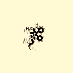 C=C(/C=C\C(C)=C/C)S(=O)(=O)n1c(-c2ccccc2)c(-c2ccccc2N)c(=C/C)/c1=C\C